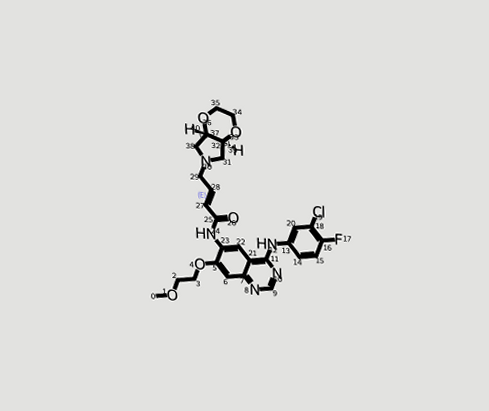 COCCOc1cc2ncnc(Nc3ccc(F)c(Cl)c3)c2cc1NC(=O)/C=C/CN1C[C@@H]2OCCO[C@H]2C1